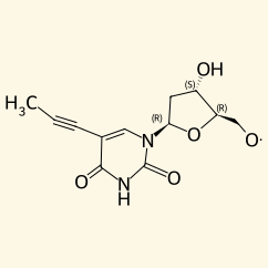 CC#Cc1cn([C@H]2C[C@H](O)[C@@H](C[O])O2)c(=O)[nH]c1=O